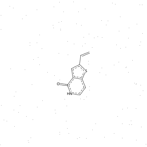 C=Cc1cc2c(=O)[nH]ccc2s1